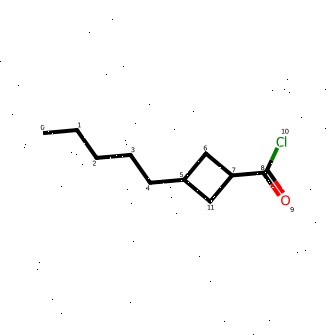 CCCCCC1CC(C(=O)Cl)C1